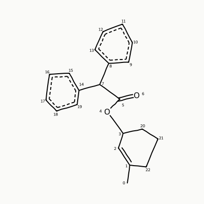 CC1=CC(OC(=O)C(c2ccccc2)c2ccccc2)CCC1